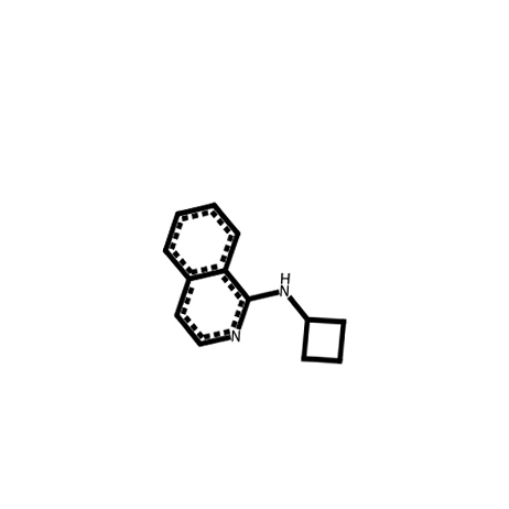 c1ccc2c(NC3CCC3)nccc2c1